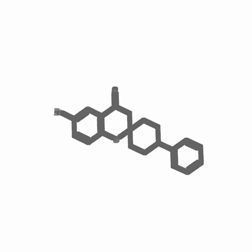 O=C1CC2(CCC(c3ccccc3)CC2)Oc2ccc(Br)cc21